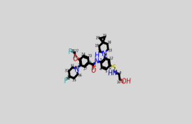 O=C(Nc1ccc(SNCCO)cc1N1CCC2(CC1)CC2)c1ccc(OCF)c(N2CCC(F)CC2)c1